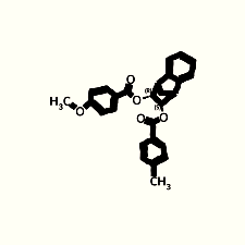 COc1ccc(C(=O)O[C@@H]2C3CC(c4ccccc43)[C@@H]2OC(=O)c2ccc(C)cc2)cc1